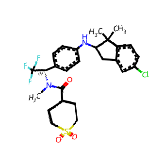 CN(C(=O)C1CCS(=O)(=O)CC1)[C@@H](c1ccc(NC2Cc3cc(Cl)ccc3C2(C)C)cc1)C(F)(F)F